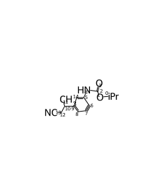 CC(C)OC(=O)Nc1c#ccc(C(C)CC#N)c1